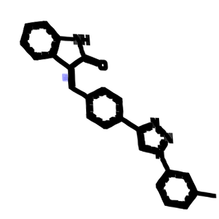 Cc1cccc(-n2cc(-c3ccc(/C=C4\C(=O)Nc5ccccc54)cc3)nn2)c1